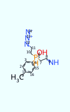 Cc1ccc([PH](O)(CC=N)CCN=[N+]=[N-])cc1